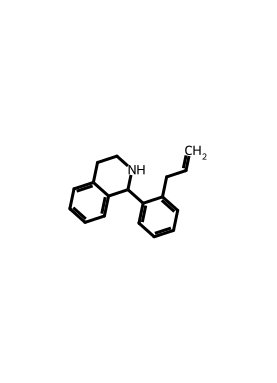 C=CCc1ccccc1C1NCCc2ccccc21